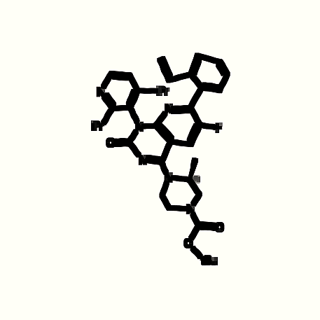 C=Cc1ccccc1-c1nc2c(cc1F)c(N1CCN(C(=O)OC(C)(C)C)C[C@@H]1C)nc(=O)n2-c1c(C(C)C)ccnc1C(C)C